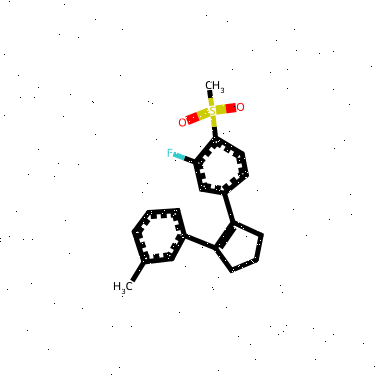 Cc1cccc(C2=C(c3ccc(S(C)(=O)=O)c(F)c3)CCC2)c1